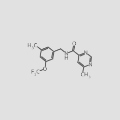 Cc1cc(CNC(=O)c2cc(C)ncn2)cc(OC(F)(F)F)c1